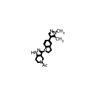 CC(=O)N1CCc2[nH]nc(N3CCc4cc(-c5cnn(C)c5C)ccc43)c2C1